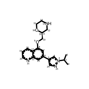 CC(C)n1cc(-c2cc(OC[C@@H]3CNCCO3)c3cccnc3c2)cn1